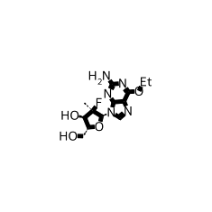 CCOC1=NC(N)=NC2C1N=CN2[C@@H]1O[C@H](CO)[C@@H](O)[C@@]1(C)F